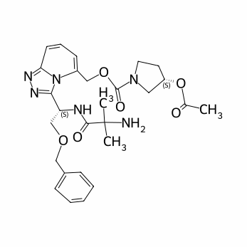 CC(=O)O[C@H]1CCN(C(=O)OCc2cccc3nnc([C@@H](COCc4ccccc4)NC(=O)C(C)(C)N)n23)C1